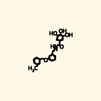 Cc1cccc(COc2cccc(/C=N/NC(=O)c3cc(O)c(O)c(O)c3)c2)c1